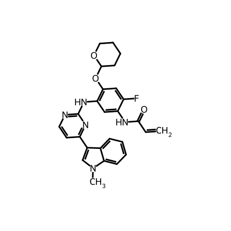 C=CC(=O)Nc1cc(Nc2nccc(-c3cn(C)c4ccccc34)n2)c(OC2CCCCO2)cc1F